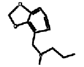 CCCN(C)Cc1cccc2c1OCO2